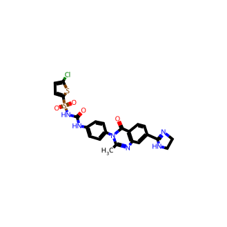 Cc1nc2cc(C3=NCCN3)ccc2c(=O)n1-c1ccc(NC(=O)NS(=O)(=O)c2ccc(Cl)s2)cc1